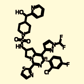 O=S(=O)(NC1CC2=C(c3ccn(C(F)F)n3)[C@H](c3ccc(F)cc3Cl)N=C(c3nccs3)N2C1)N1CCC(C(O)c2ccccn2)CC1